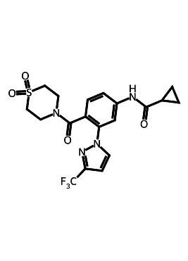 O=C(Nc1ccc(C(=O)N2CCS(=O)(=O)CC2)c(-n2ccc(C(F)(F)F)n2)c1)C1CC1